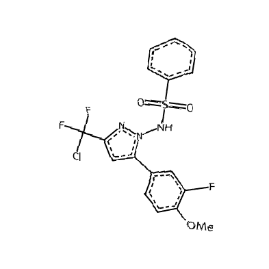 COc1ccc(-c2cc(C(F)(F)Cl)nn2NS(=O)(=O)c2ccccc2)cc1F